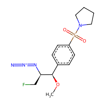 CO[C@H](c1ccc(S(=O)(=O)N2CCCC2)cc1)[C@@H](CF)N=[N+]=[N-]